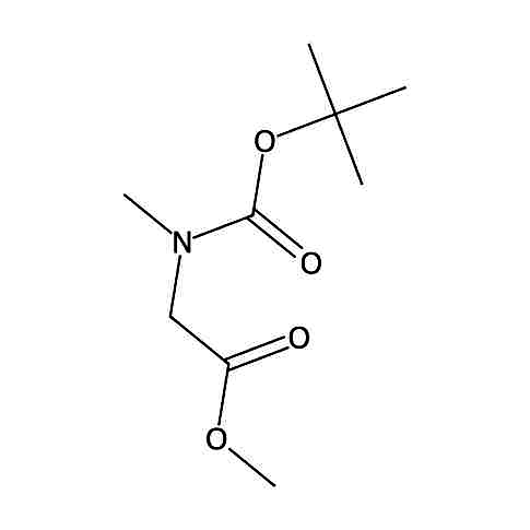 COC(=O)CN(C)C(=O)OC(C)(C)C